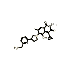 COc1c(N2CCC(c3cccc(CN)n3)C2)c(F)cn2c(=O)n(N)c(=O)c(C3CC3)c12